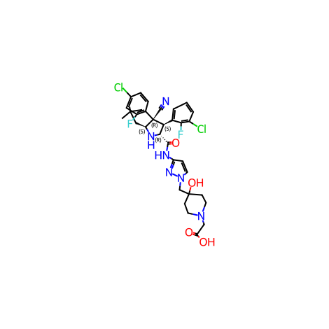 CC(C)(C)C[C@@H]1N[C@@H](C(=O)Nc2ccn(CC3(O)CCN(CC(=O)O)CC3)n2)[C@H](c2cccc(Cl)c2F)[C@@]1(C#N)c1ccc(Cl)cc1F